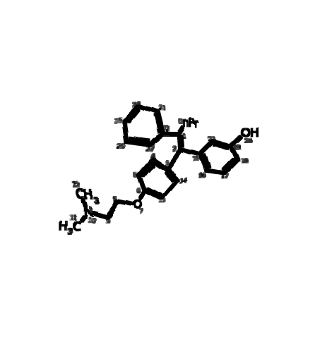 CCC/C(=C(/c1ccc(OCCN(C)C)cc1)c1cccc(O)c1)c1ccccc1